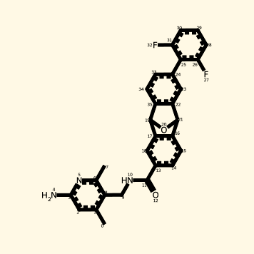 Cc1cc(N)nc(C)c1CNC(=O)c1ccc2c(c1)C1OC2c2cc(-c3c(F)cccc3F)ccc21